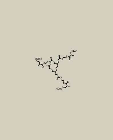 CCCCCCCCCCSCC(C)C(=O)OCCOC(=O)CCN(CCCN(C)C)CCCN(CCC(=O)OCCOC(=O)C(C)CSC)CCC(=O)OCCOC(=O)C(C)CSCCCCCCCCCC